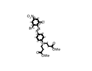 COC(=O)CCN(CCC(=O)OC)c1ccc(N=Nc2c(Cl)cc([N+](=O)[O-])cc2Br)cc1